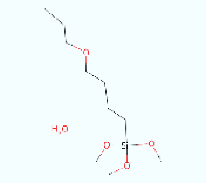 CCCOCCCC[Si](OC)(OC)OC.O